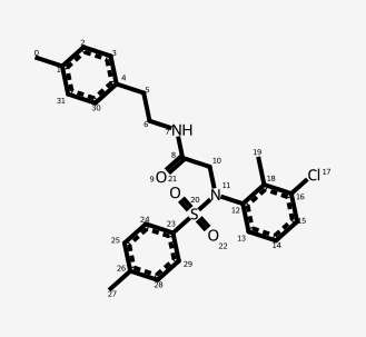 Cc1ccc(CCNC(=O)CN(c2cccc(Cl)c2C)S(=O)(=O)c2ccc(C)cc2)cc1